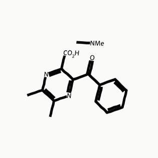 CNC.Cc1nc(C(=O)O)c(C(=O)c2ccccc2)nc1C